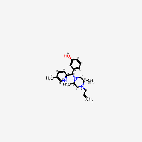 C=CCN1C[C@@H](C)N([C@H](c2cccc(O)c2)c2ccc(C)cn2)C[C@@H]1C